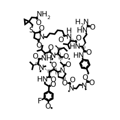 CC[C@H](C)[C@@H]([C@@H](CC(=O)N1C[C@@H](OC(=O)N(C)CCN(C)C(=O)OCc2ccc(NC(=O)[C@H](CCCNC(N)=O)NC(=O)[C@@H](NC(=O)CCCCCN3C(=O)CC(SCC4(CC(N)=O)CC4)C3=O)C(C)C)cc2)C[C@H]1[C@H](OC)[C@@H](C)C(=O)NCC(=O)c1ccc(OC)c(F)c1)OC)N(C)C(=O)[C@@H](NC(=O)[C@H](C(C)C)N(C)C)C(C)C